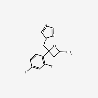 CC1CC(Cn2cncn2)(c2ccc(F)cc2F)O1